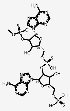 COP(O)(=S)OC1C(O)[C@@H](COP(O)(=S)OC2C(O)[C@@H](COP(O)(O)=S)O[C@H]2n2cnc3c(N)ncnc32)O[C@H]1n1cnc2c(N)ncnc21